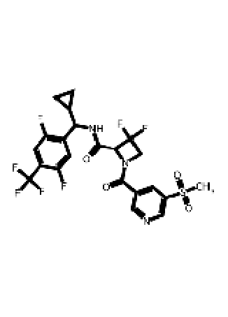 CS(=O)(=O)c1cncc(C(=O)N2CC(F)(F)[C@@H]2C(=O)NC(c2cc(F)c(C(F)(F)F)cc2F)C2CC2)c1